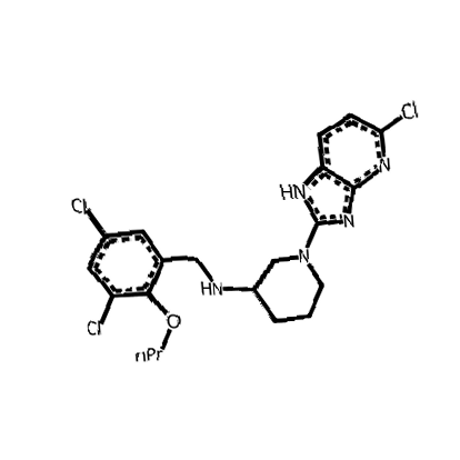 CCCOc1c(Cl)cc(Cl)cc1CNC1CCCN(c2nc3nc(Cl)ccc3[nH]2)C1